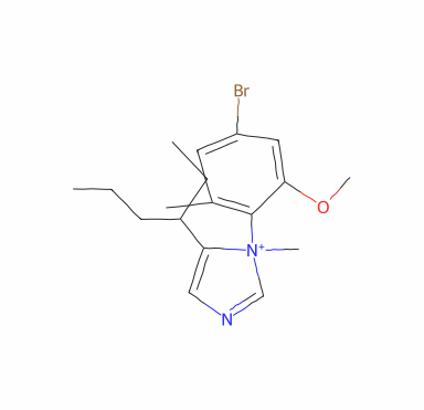 CCCC(CC)C1=CN=C[N+]1(C)c1c(C)cc(Br)cc1OC